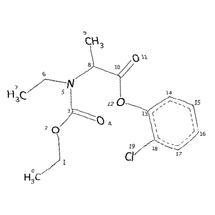 CCOC(=O)N(CC)C(C)C(=O)Oc1ccccc1Cl